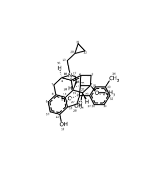 CO[C@@]12CC(=C3[C@H]4Cc5ccc(O)c6c5[C@@]3(CCN4CC3CC3)[C@H]1O6)[C@@H]2[C@](C)(O)c1cccc(C)c1